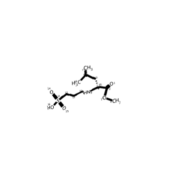 COC(=O)[C@@H](CC(C)C)NCCCS(=O)(=O)O